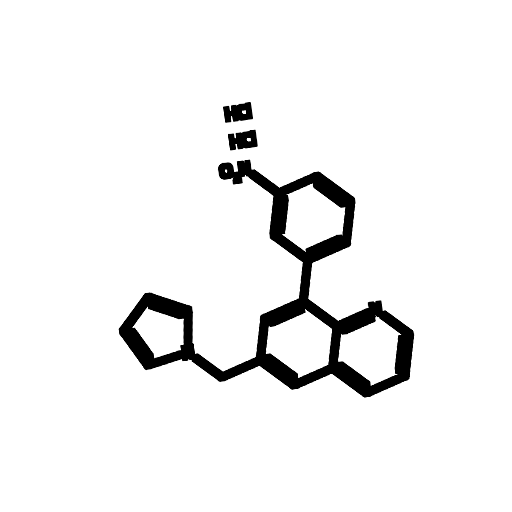 Cl.Cl.O=[N+]([O-])c1cccc(-c2cc(Cn3cccc3)cc3cccnc23)c1